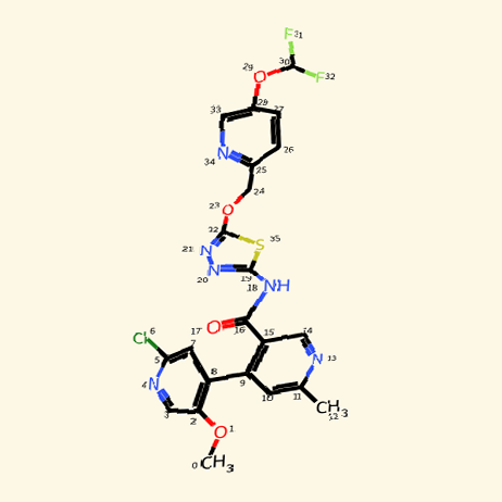 COc1cnc(Cl)cc1-c1cc(C)ncc1C(=O)Nc1nnc(OCc2ccc(OC(F)F)cn2)s1